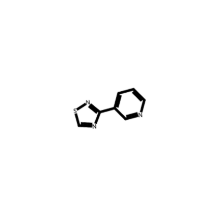 c1cncc(-c2ncsn2)c1